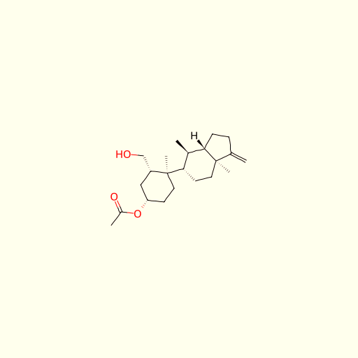 C=C1CC[C@H]2[C@H](C)[C@@H]([C@@]3(C)CC[C@H](OC(C)=O)C[C@@H]3CO)CC[C@]12C